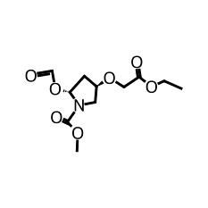 CCOC(=O)CO[C@@H]1C[C@@H](OC=O)N(C(=O)OC)C1